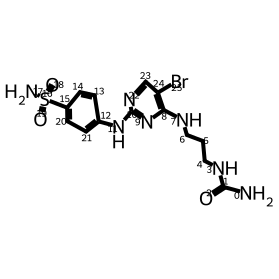 NC(=O)NCCCNc1nc(Nc2ccc(S(N)(=O)=O)cc2)ncc1Br